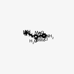 COc1cc(N)c(Cl)cc1C(=O)N[C@@H]1CCN(CCCSc2ncn[nH]2)C[C@@H]1OC.O